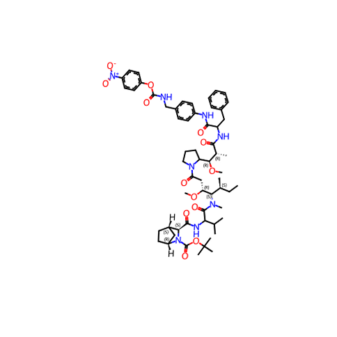 CC[C@H](C)[C@@H]([C@@H](CC(=O)N1CCCC1[C@H](OC)[C@@H](C)C(=O)NC(Cc1ccccc1)C(=O)Nc1ccc(CNC(=O)Oc2ccc([N+](=O)[O-])cc2)cc1)OC)N(C)C(=O)C(NC(=O)[C@@H]1[C@H]2CC[C@H](C2)N1C(=O)OC(C)(C)C)C(C)C